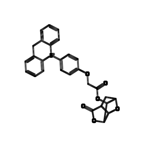 O=C(COc1ccc([S+]2c3ccccc3Cc3ccccc32)cc1)OC1C2CC3C(=O)OC1C3O2